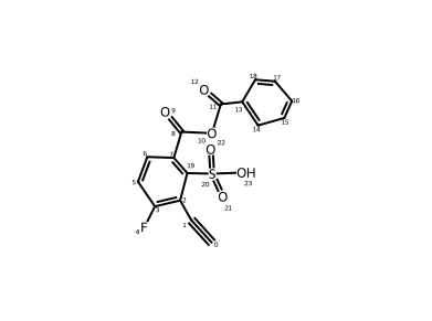 C#Cc1c(F)ccc(C(=O)OC(=O)c2ccccc2)c1S(=O)(=O)O